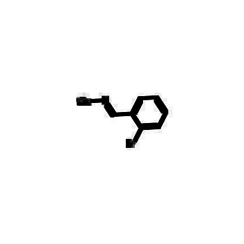 CC(C)(C)N=Cc1ccccc1Br